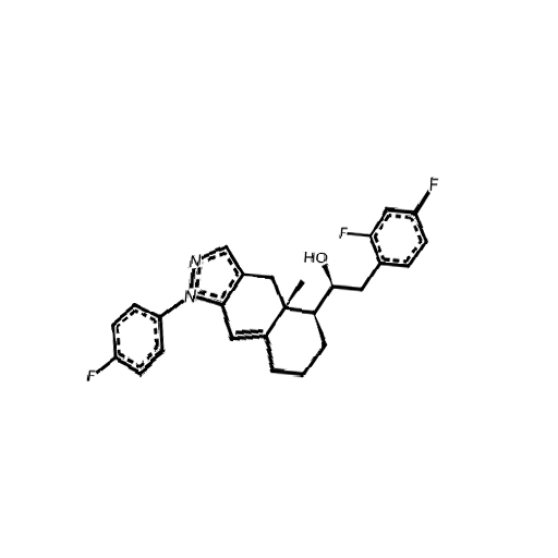 C[C@]12Cc3cnn(-c4ccc(F)cc4)c3C=C1CCC[C@@H]2[C@@H](O)Cc1ccc(F)cc1F